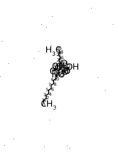 CCCCCCCCCCCCCC(C(=O)O)C(CC(=O)O)(OC(=O)CCCCC)C(=O)O